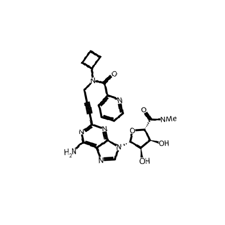 CNC(=O)[C@H]1O[C@@H](n2cnc3c(N)nc(C#CCN(C(=O)c4ccccn4)C4CCC4)nc32)[C@H](O)[C@@H]1O